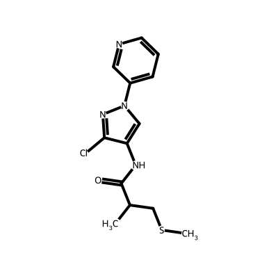 CSCC(C)C(=O)Nc1cn(-c2cccnc2)nc1Cl